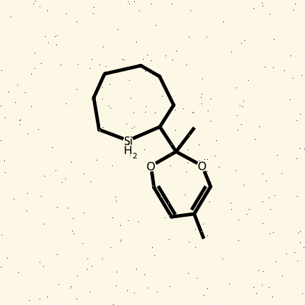 CC1=COC(C)(C2CCCCCC[SiH2]2)OC=C1